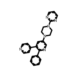 c1ccc(-c2ncc(N3CCN(c4ncccn4)CC3)cc2-c2ccncc2)cc1